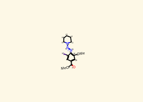 COC(=O)c1cc(I)c(/N=N/N2CCCCC2)c(OC)c1